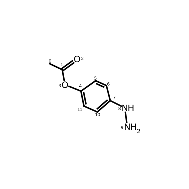 CC(=O)Oc1ccc(NN)cc1